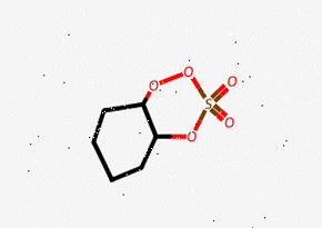 O=S1(=O)OOC2CCCCC2O1